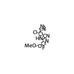 COCCOc1cc2c(Nc3ccc(Sc4nccn4C)c(Cl)c3)c(C#N)cnc2cc1F